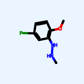 CNNc1cc(F)ccc1OC